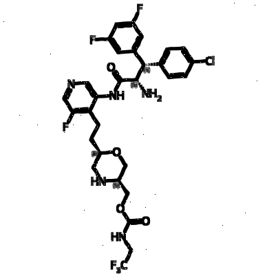 N[C@H](C(=O)Nc1cncc(F)c1CC[C@@H]1CN[C@H](COC(=O)NCC(F)(F)F)CO1)[C@@H](c1ccc(Cl)cc1)c1cc(F)cc(F)c1